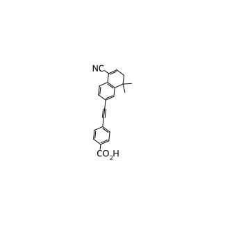 CC1(C)CC=C(C#N)c2ccc(C#Cc3ccc(C(=O)O)cc3)cc21